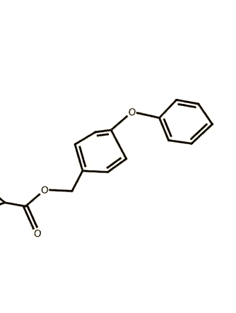 O=C(OCc1ccc(Oc2ccccc2)cc1)C1CC1